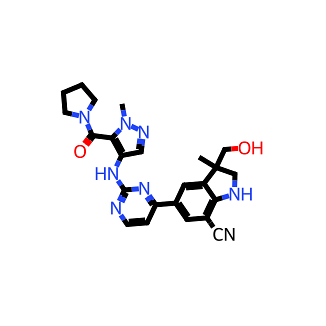 Cn1ncc(Nc2nccc(-c3cc(C#N)c4c(c3)C(C)(CO)CN4)n2)c1C(=O)N1CCCC1